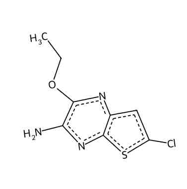 CCOc1nc2cc(Cl)sc2nc1N